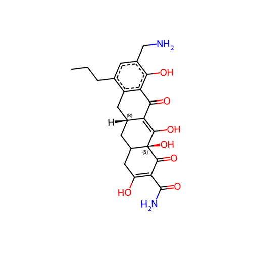 CCCc1cc(CN)c(O)c2c1C[C@H]1CC3CC(O)=C(C(N)=O)C(=O)[C@@]3(O)C(O)=C1C2=O